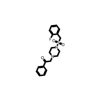 O=C(CN1CCN(S(=O)(=O)Cc2ccccc2F)CC1)c1ccccc1